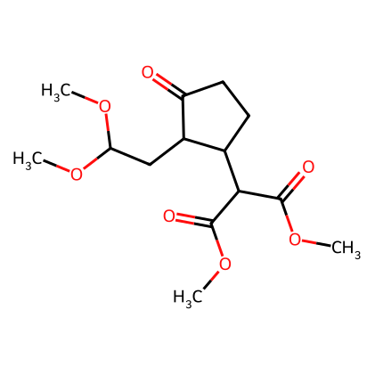 COC(=O)C(C(=O)OC)C1CCC(=O)C1CC(OC)OC